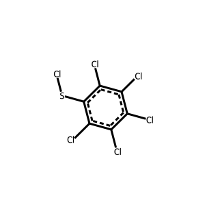 ClSc1c(Cl)c(Cl)c(Cl)c(Cl)c1Cl